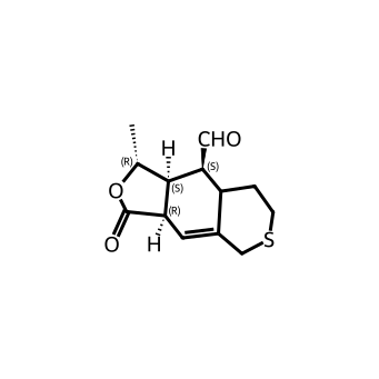 C[C@H]1OC(=O)[C@@H]2C=C3CSCCC3[C@H](C=O)[C@H]12